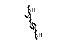 CCNCCN(CC)CCN1CCN(CCNCC)CC1